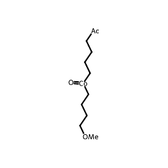 COCCC[CH2][Co](=[O])[CH2]CCCC(C)=O